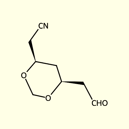 N#CC[C@H]1C[C@@H](CC=O)OCO1